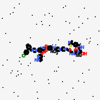 Cc1ncsc1-c1ccc([C@H](C)NC(=O)[C@@H]2C[C@@H](O)CN2C(=O)[C@@H](NCCOCCN2CCC(N3CCC(CNc4ccc(S(=O)(=O)NC(=O)c5ccc(N6CCN(CC7=C(c8ccc(Cl)cc8)CC(C)(C)CC7)CC6)cc5Oc5cnc6[nH]ccc6c5)cc4[N+](=O)[O-])CC3)CC2)C(C)(C)C)cc1